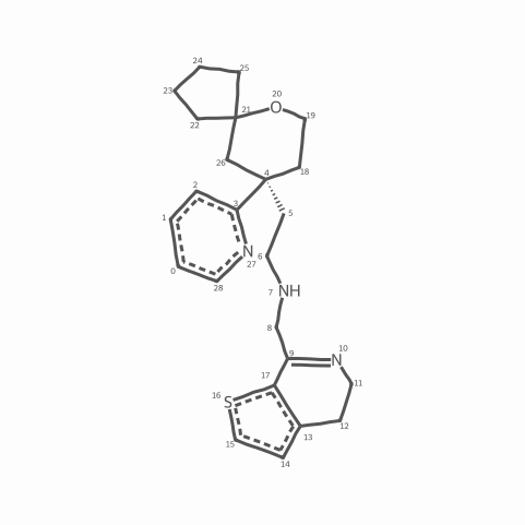 c1ccc([C@]2(CCNCC3=NCCc4ccsc43)CCOC3(CCCC3)C2)nc1